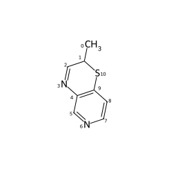 CC1C=Nc2cnccc2S1